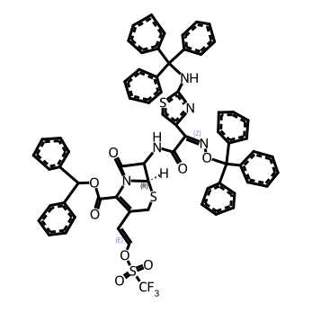 O=C(OC(c1ccccc1)c1ccccc1)C1=C(/C=C/OS(=O)(=O)C(F)(F)F)CS[C@@H]2C(NC(=O)/C(=N\OC(c3ccccc3)(c3ccccc3)c3ccccc3)c3csc(NC(c4ccccc4)(c4ccccc4)c4ccccc4)n3)C(=O)N12